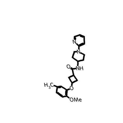 COc1ccc(C)cc1OC1CC(C(=O)NC2CCN(c3ccccn3)CC2)C1